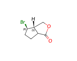 O=C1OC[C@@H]2C1CC[C@H]2Br